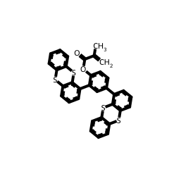 C=C(C)C(=O)Oc1ccc(-c2cccc3c2Sc2ccccc2S3)cc1-c1cccc2c1Sc1ccccc1S2